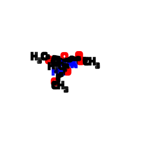 CCOC(=O)c1cc2n(n1)CC(C)(C(=O)NCCCOC)N(c1ccc(OCC)cc1)C2=O